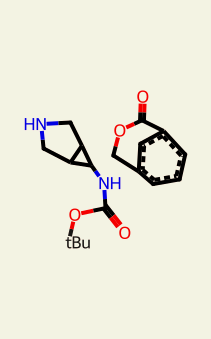 CC(C)(C)OC(=O)NC1C2CNCC21.O=C1OCc2cccc1c2